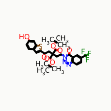 CC(C)(C)OC(=O)C(CCn1nnc2ccc(C(F)(F)F)cc2c1=O)(CC(=O)c1cc2ccc(O)cc2s1)C(=O)OC(C)(C)C